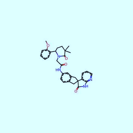 COc1ccccc1C1CCC(C)(C)C(=O)N1CC(=O)Nc1ccc2c(c1)CC1(C2)C(=O)Nc2ncccc21